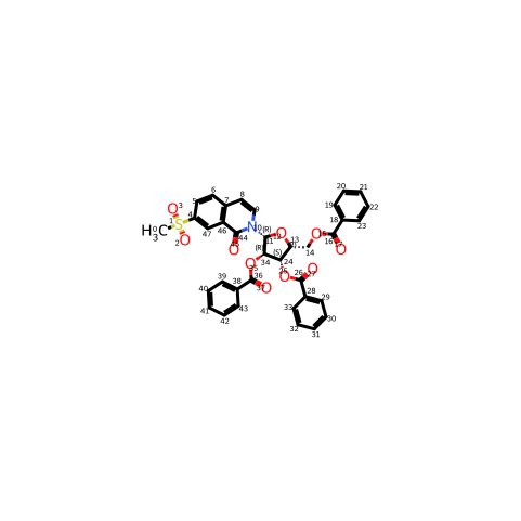 CS(=O)(=O)c1ccc2ccn([C@@H]3O[C@H](COC(=O)c4ccccc4)[C@H](OC(=O)c4ccccc4)[C@H]3OC(=O)c3ccccc3)c(=O)c2c1